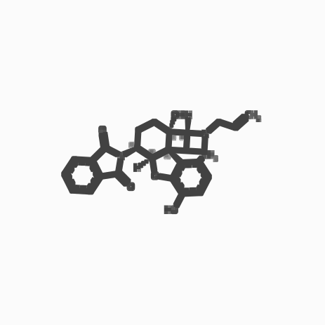 C=CCN1CC2[C@@H]1[C@]1(O)CC[C@H](N3C(=O)c4ccccc4C3=O)[C@@H]3Oc4c(O)ccc(C)c4[C@@]231